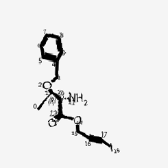 C[C@@H](OCc1ccccc1)[C@H](N)C(=O)OCC#CI